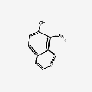 Nc1c(O)ccc2ccncc12